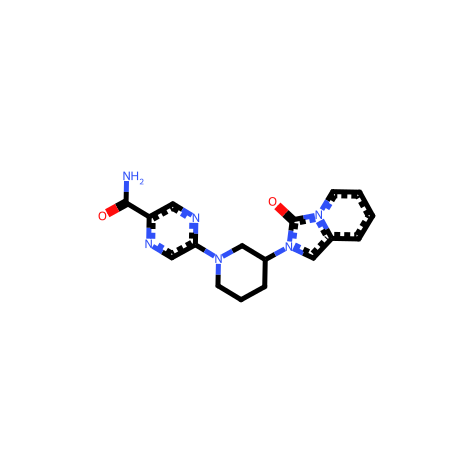 NC(=O)c1cnc(N2CCCC(n3cc4ccccn4c3=O)C2)cn1